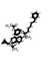 CC(=O)Oc1cccc([C@@]23CCN(CC4CC4)C[C@@]2(OC(C)=O)CC[C@H](N(C)C(=O)CCCCCc2ccccc2)C3)c1